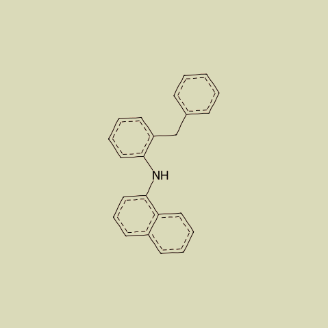 c1ccc(Cc2ccccc2Nc2cccc3ccccc23)cc1